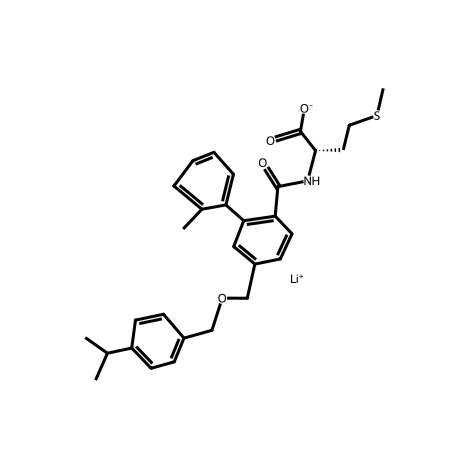 CSCC[C@H](NC(=O)c1ccc(COCc2ccc(C(C)C)cc2)cc1-c1ccccc1C)C(=O)[O-].[Li+]